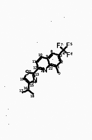 Cc1cc(C(F)(F)F)cc2[c]cc(-c3nc(C(C)C)cs3)nc12